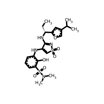 CC[C@@H](NC1=NS(=O)(=O)C=C1Nc1cccc(S(=O)(=O)N(C)C)c1O)c1cc(C(C)C)co1